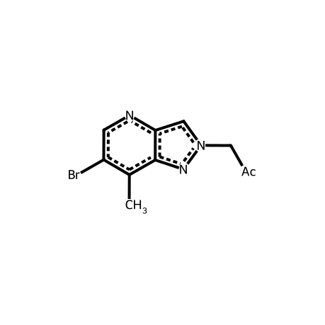 CC(=O)Cn1cc2ncc(Br)c(C)c2n1